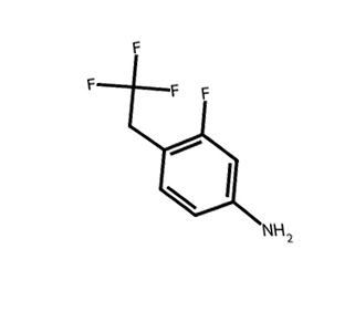 Nc1ccc(CC(F)(F)F)c(F)c1